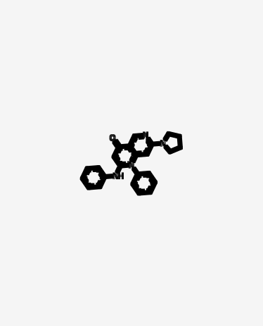 O=c1cc(Nc2ccccc2)n(-c2ccccc2)c2cc(N3CCCC3)ncc12